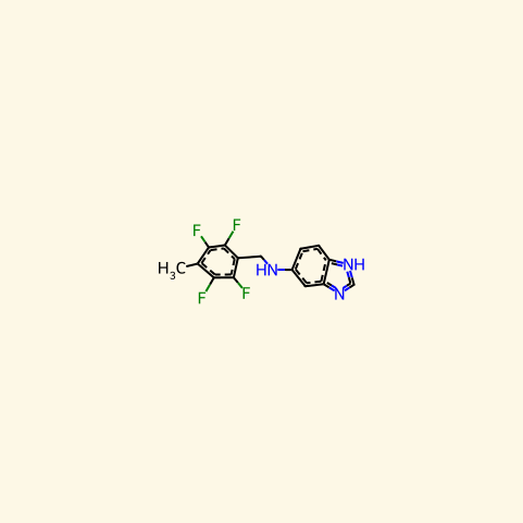 Cc1c(F)c(F)c(CNc2ccc3[nH]cnc3c2)c(F)c1F